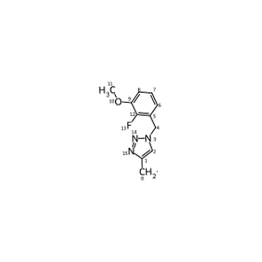 [CH2]c1cn(Cc2cccc(OC)c2F)nn1